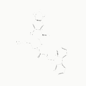 COCCN(CCC(=O)c1cc2c(cc1N)OCO2)C(=O)OCC1c2ccccc2-c2ccccc21